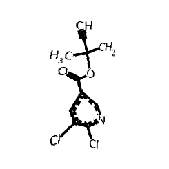 C#CC(C)(C)OC(=O)c1cnc(Cl)c(Cl)c1